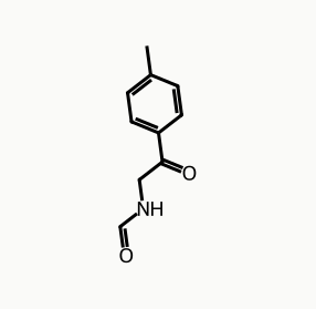 Cc1ccc(C(=O)CNC=O)cc1